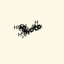 Cc1nc(N2CCC(N3CCc4ccccc4NC3=O)CC2)sc1C(=O)N1CCCC(C(C)(C)O)C1